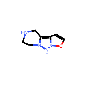 C1=CC2=C3CNCCN3NN2O1